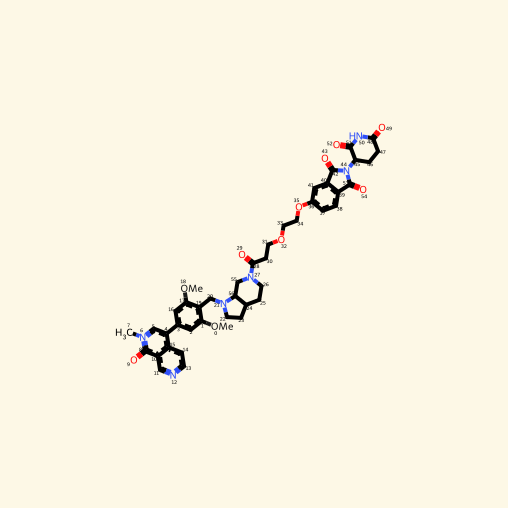 COc1cc(-c2cn(C)c(=O)c3cnccc23)cc(OC)c1CN1CCC2CCN(C(=O)CCOCCOc3ccc4c(c3)C(=O)N(C3CCC(=O)NC3=O)C4=O)CC21